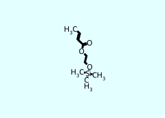 C/C=C/C(=O)OCCO[Si](C)(C)C